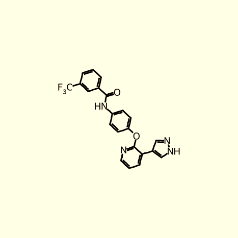 O=C(Nc1ccc(Oc2ncccc2-c2cn[nH]c2)cc1)c1cccc(C(F)(F)F)c1